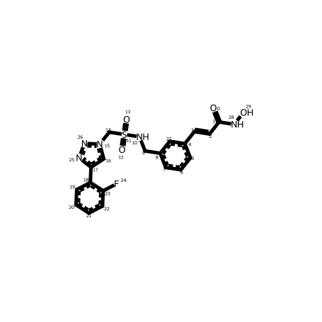 O=C(C=Cc1cccc(CNS(=O)(=O)Cn2cc(-c3ccccc3F)nn2)c1)NO